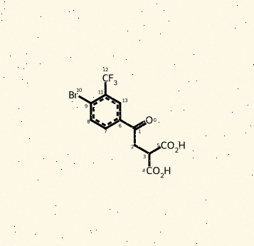 O=C(CC(C(=O)O)C(=O)O)c1ccc(Br)c(C(F)(F)F)c1